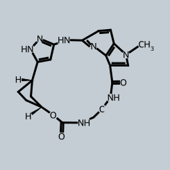 Cn1cc2c3nc(ccc31)Nc1cc([nH]n1)[C@H]1CC[C@H](C1)OC(=O)NCCNC2=O